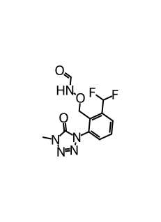 Cn1nnn(-c2cccc(C(F)F)c2CONC=O)c1=O